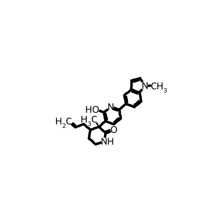 C=CCC1CCNC(=O)[C@@]1(C)c1ccc(-c2ccc3c(ccn3C)c2)nc1O